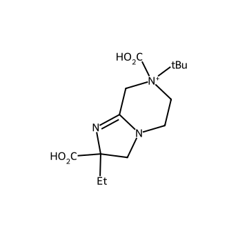 CCC1(C(=O)O)CN2CC[N+](C(=O)O)(C(C)(C)C)CC2=N1